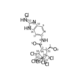 O=C[C@@H]1[C@H](C(=O)Nc2ccc3nc(NCl)[nH]c3c2)C2(Cl)C(Cl)=C(Cl)C1(Cl)C2(Cl)Cl